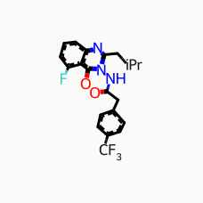 CC(C)Cc1nc2cccc(F)c2c(=O)n1NC(=O)Cc1ccc(C(F)(F)F)cc1